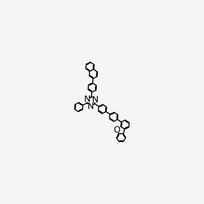 c1ccc(-c2nc(-c3ccc(-c4ccc(-c5cccc6c5oc5ccccc56)cc4)cc3)nc(-c3ccc(-c4ccc5ccccc5c4)cc3)n2)cc1